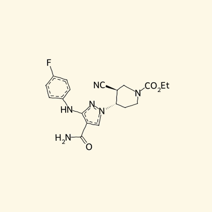 CCOC(=O)N1CC[C@H](n2cc(C(N)=O)c(Nc3ccc(F)cc3)n2)[C@@H](C#N)C1